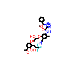 COC(c1ccccc1)n1nnnc1C(=O)Nc1cc(OCC(O)COc2ccc(C(C)=O)c(O)c2CCC(F)(F)F)c(C#N)cc1C